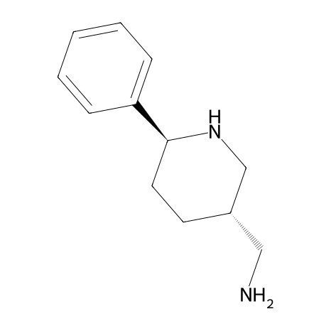 NC[C@@H]1CC[C@@H](c2ccccc2)NC1